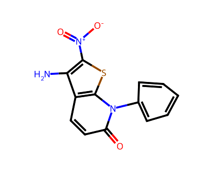 Nc1c([N+](=O)[O-])sc2c1ccc(=O)n2-c1ccccc1